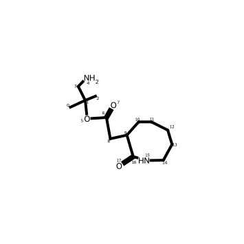 CC(C)(CN)OC(=O)CC1CCCCCNC1=O